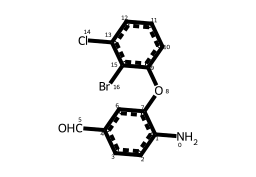 Nc1ccc(C=O)cc1Oc1cccc(Cl)c1Br